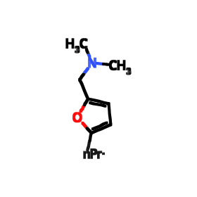 CC[CH]c1ccc(CN(C)C)o1